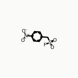 O=[N+]([O-])c1ccc(CS(=O)(=O)F)cc1